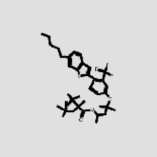 CCCCCc1ccc2cc(-c3ccc(OC(C)(C)CC(C)OC(=O)C(C)(CC(C)(C)C)C(C)(C)C)cc3C(F)(F)F)oc2c1